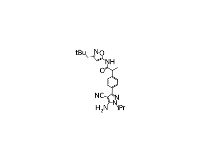 CC(C(=O)Nc1cc(CC(C)(C)C)no1)c1ccc(-c2nn(C(C)C)c(N)c2C#N)cc1